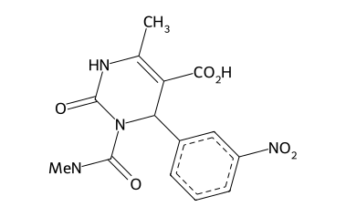 CNC(=O)N1C(=O)NC(C)=C(C(=O)O)C1c1cccc([N+](=O)[O-])c1